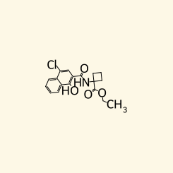 CCOC(=O)C1(NC(=O)c2cc(Cl)c3ccccc3c2O)CCC1